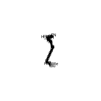 COC(=O)[C@H](CCC(C)(C)C)NCc1cccc(OCCOCCOCCOCCOCCOCCOCc2cn(CCCCCOc3ncc(-c4nc5c(N[C@H](C)c6cc(C#N)ccc6F)c(Cl)c(C)nc5cc4F)cn3)nn2)c1